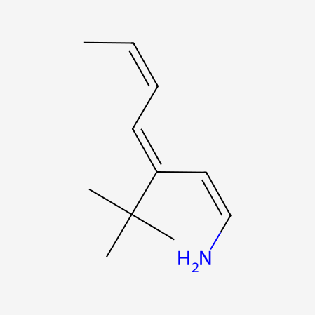 C\C=C/C=C(\C=C/N)C(C)(C)C